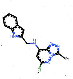 CC(C)c1nnc2c(NCc3cc4ccccc4[nH]3)cc(Cl)nn12